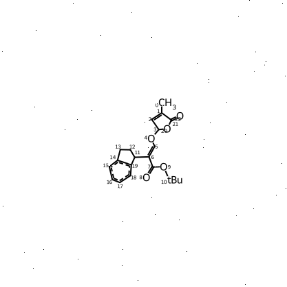 CC1=CC(O/C=C(/C(=O)OC(C)(C)C)C2CCc3ccccc32)OC1=O